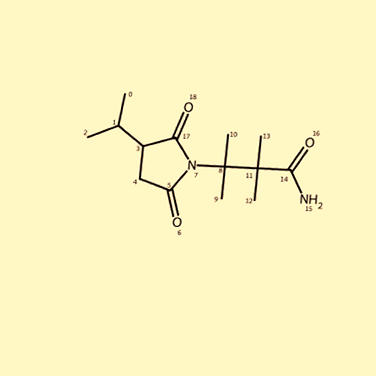 CC(C)C1CC(=O)N(C(C)(C)C(C)(C)C(N)=O)C1=O